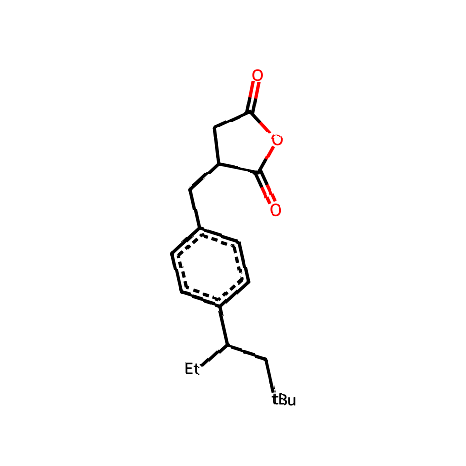 CCC(CC(C)(C)C)c1ccc(CC2CC(=O)OC2=O)cc1